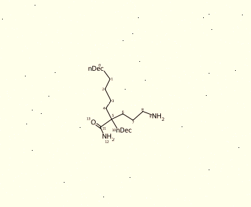 CCCCCCCCCCCCCCC(CCCN)(CCCCCCCCCC)C(N)=O